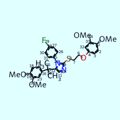 COc1ccc(OCCSc2ncc(C(C)(C)c3ccc(OC)c(OC)c3)n2-c2ccc(F)cc2)cc1OC